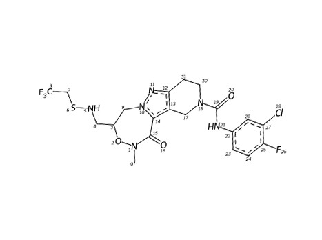 CN1OC(CNSCC(F)(F)F)Cn2nc3c(c2C1=O)CN(C(=O)Nc1ccc(F)c(Cl)c1)CC3